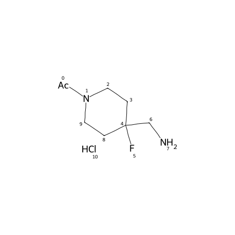 CC(=O)N1CCC(F)(CN)CC1.Cl